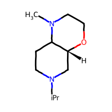 CC(C)N1CCC2[C@@H](C1)OCCN2C